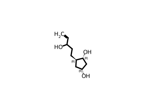 C=CC(O)CC[C@@H]1C[C@@H](O)C[C@H]1O